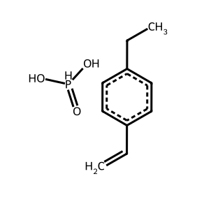 C=Cc1ccc(CC)cc1.O=[PH](O)O